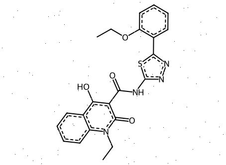 CCOc1ccccc1-c1nnc(NC(=O)c2c(O)c3ccccc3n(CC)c2=O)s1